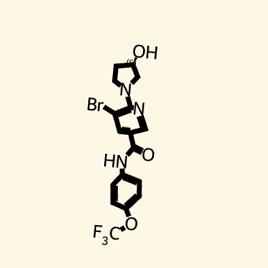 O=C(Nc1ccc(OC(F)(F)F)cc1)c1cnc(N2CC[C@H](O)C2)c(Br)c1